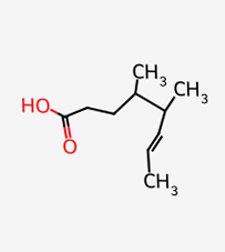 CC=CC(C)C(C)CCC(=O)O